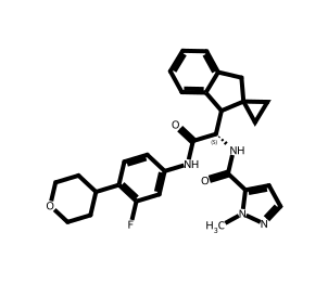 Cn1nccc1C(=O)N[C@H](C(=O)Nc1ccc(C2CCOCC2)c(F)c1)C1c2ccccc2CC12CC2